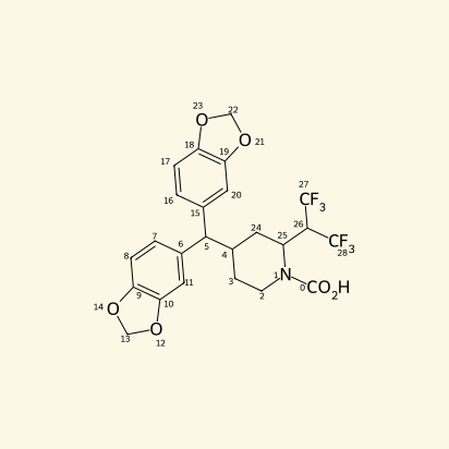 O=C(O)N1CCC(C(c2ccc3c(c2)OCO3)c2ccc3c(c2)OCO3)CC1C(C(F)(F)F)C(F)(F)F